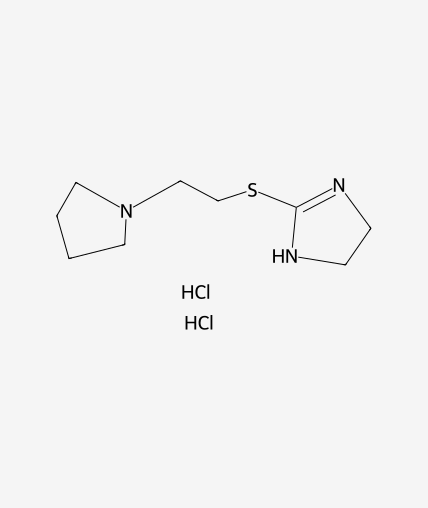 C1CCN(CCSC2=NCCN2)C1.Cl.Cl